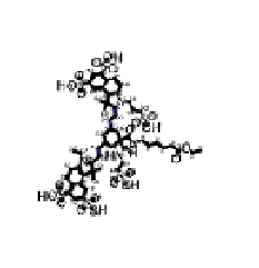 CCOC(=O)CCCCCNC(=O)C1(C(=O)NCCS(=O)(=O)O)CC(/C=C/C2=[N+](CC)c3ccc4c(S(=O)(=O)O)cc(S(=O)(=O)O)cc4c3C2(C)C)=CC(=C/C=C2/N(CCCS(=O)(=O)O)c3ccc4c(S(=O)(=O)O)cc(S(=O)(=O)O)cc4c3C2(C)C)/C1